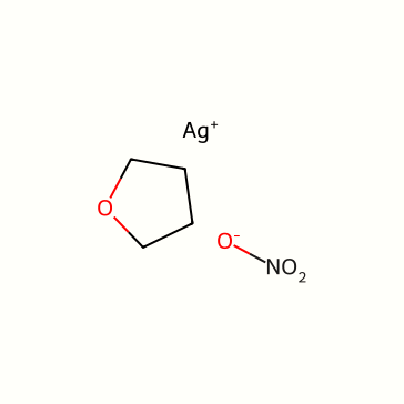 C1CCOC1.O=[N+]([O-])[O-].[Ag+]